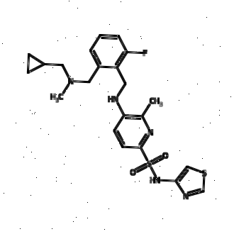 Cc1nc(S(=O)(=O)Nc2cscn2)ccc1NCc1c(F)cccc1CN(C)CC1CC1